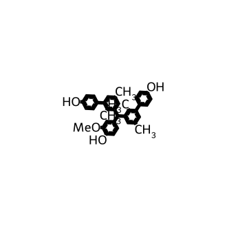 COc1cc(C(c2cc(C)cc(-c3ccc(O)cc3)c2C)c2cc(C)cc(-c3ccc(O)cc3)c2C)ccc1O